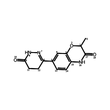 CC1Oc2cc(C3=NNC(=O)CC3)ccc2NC1=O